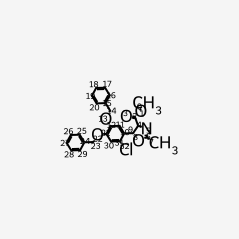 COC(=O)C1N=C(C)OC1c1cc(OCc2ccccc2)c(OCc2ccccc2)cc1Cl